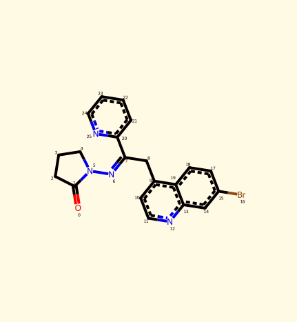 O=C1CCCN1N=C(Cc1ccnc2cc(Br)ccc12)c1ccccn1